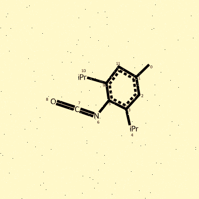 Cc1cc(C(C)C)c(N=C=O)c(C(C)C)c1